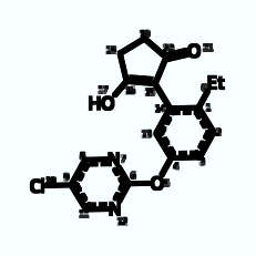 CCc1ccc(Oc2ncc(Cl)cn2)cc1C1=C(O)CCC1=O